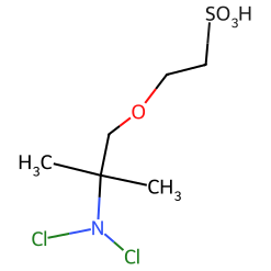 CC(C)(COCCS(=O)(=O)O)N(Cl)Cl